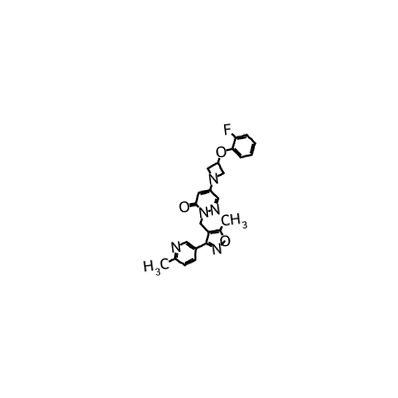 Cc1ccc(-c2noc(C)c2Cn2ncc(N3CC(Oc4ccccc4F)C3)cc2=O)cn1